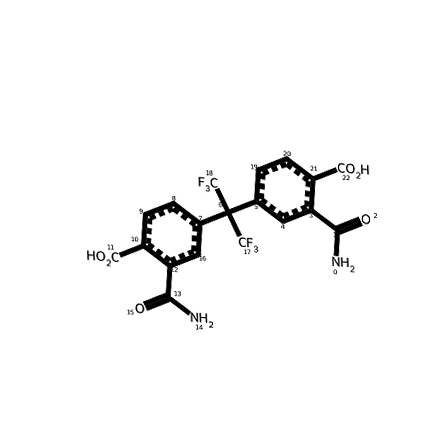 NC(=O)c1cc(C(c2ccc(C(=O)O)c(C(N)=O)c2)(C(F)(F)F)C(F)(F)F)ccc1C(=O)O